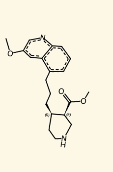 COC(=O)[C@H]1CNCC[C@H]1CCCc1cccc2ncc(OC)cc12